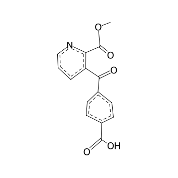 COC(=O)c1ncccc1C(=O)c1ccc(C(=O)O)cc1